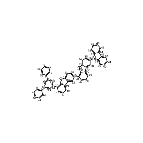 c1ccc(-c2nc(-c3ccccc3)nc(-c3cccc4c3sc3ccc(-c5cccc6c5sc5ccc(-n7c8ccccc8c8ccccc87)cc56)cc34)n2)cc1